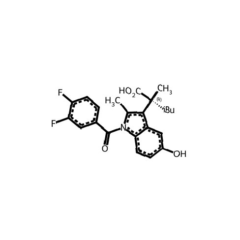 CCC(C)[C@@](C)(C(=O)O)c1c(C)n(C(=O)c2ccc(F)c(F)c2)c2ccc(O)cc12